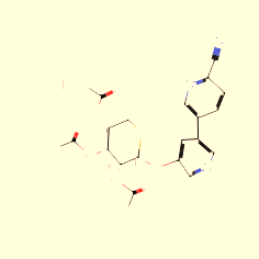 CC(=O)O[C@@H]1[C@@H](OC(C)=O)[C@H](OC(C)=O)CS[C@H]1Oc1cncc(-c2ccc(C#N)nc2)c1